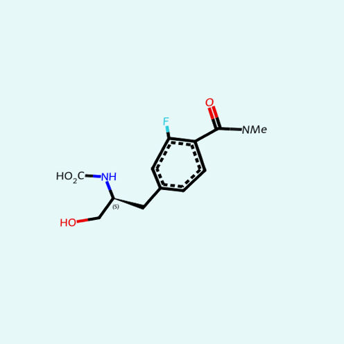 CNC(=O)c1ccc(C[C@@H](CO)NC(=O)O)cc1F